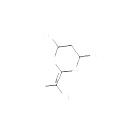 CC(C)=C1OC(C)CC(C)O1